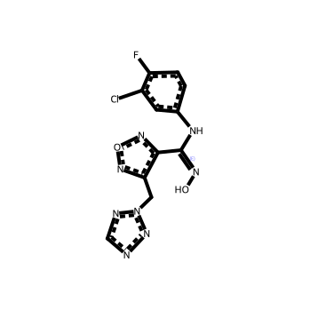 O/N=C(/Nc1ccc(F)c(Cl)c1)c1nonc1Cn1ncnn1